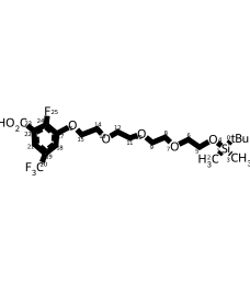 CC(C)(C)[Si](C)(C)OCCOCCOCCOCCOc1cc(C(F)(F)F)cc(C(=O)O)c1F